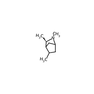 CC1CC2CC1[C@@H](C)N2C